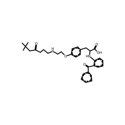 CC(C)(C)CC(=O)CCCNCCOc1ccc(CC(Nc2ccccc2C(=O)c2ccccc2)C(=O)O)cc1